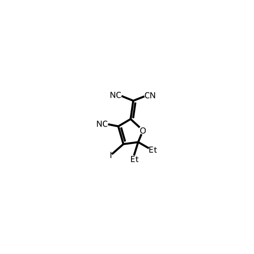 CCC1(CC)OC(=C(C#N)C#N)C(C#N)=C1I